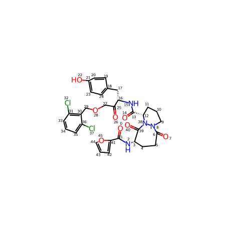 O=C(N[C@H]1CCC(=O)N2CCC[C@@H](C(=O)N[C@@H](Cc3ccc(O)cc3)C(=O)COCc3c(Cl)cccc3Cl)N2C1=O)c1ccco1